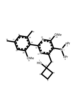 CCCN(CCC)c1c(CC2(O)CCC2)nc(-c2c(C)cc(C)cc2OC)nc1OC